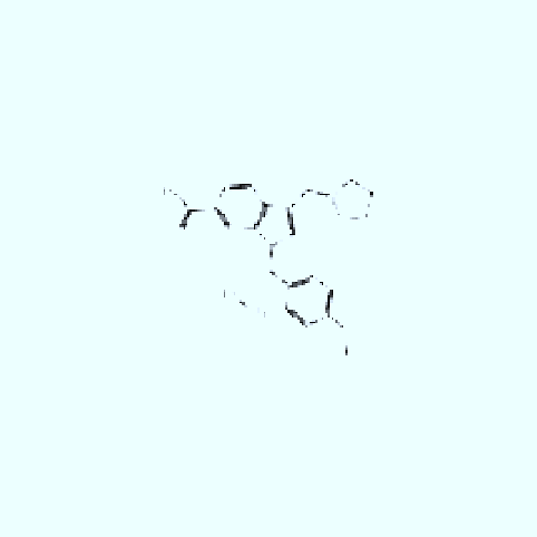 COc1ccc(Cn2cc(CN3CCCC3)c3ccc(C(=O)O)cc32)cc1.NO